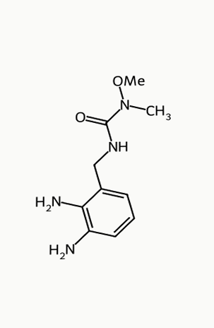 CON(C)C(=O)NCc1cccc(N)c1N